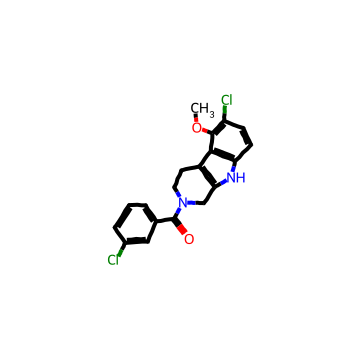 COc1c(Cl)ccc2[nH]c3c(c12)CCN(C(=O)c1cccc(Cl)c1)C3